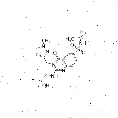 CCC(O)CNc1nc2ccc(S(=O)(=O)NC3(C)CC3)cc2c(=O)n1Cc1ccn(C)n1